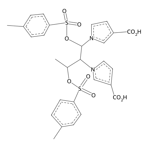 Cc1ccc(S(=O)(=O)OC(C)C(C(OS(=O)(=O)c2ccc(C)cc2)n2ccc(C(=O)O)c2)n2ccc(C(=O)O)c2)cc1